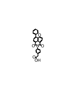 O=C(O)Cc1ccc(-n2c(=O)c3ccc4oc5ccccc5c5ccc(c2=O)c3c45)cc1